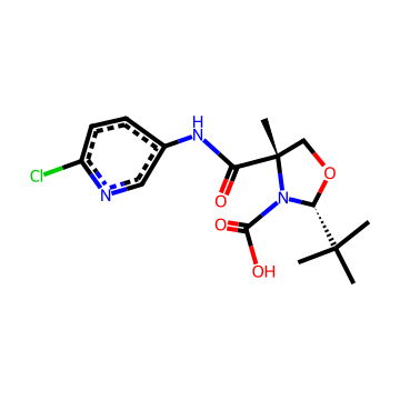 CC(C)(C)[C@H]1OC[C@@](C)(C(=O)Nc2ccc(Cl)nc2)N1C(=O)O